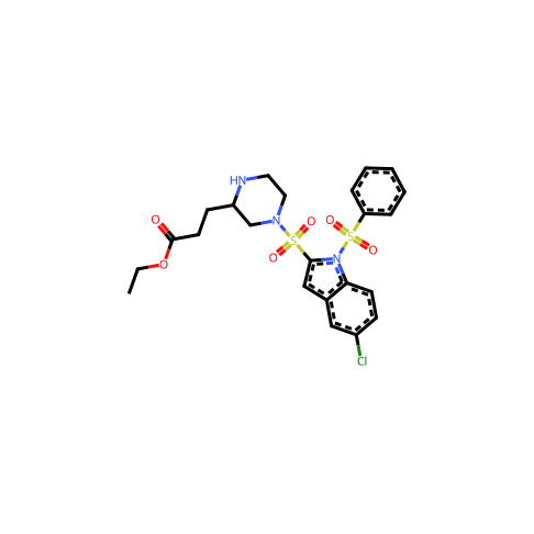 CCOC(=O)CCC1CN(S(=O)(=O)c2cc3cc(Cl)ccc3n2S(=O)(=O)c2ccccc2)CCN1